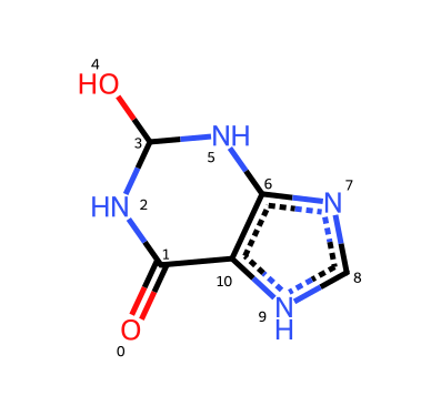 O=C1NC(O)Nc2nc[nH]c21